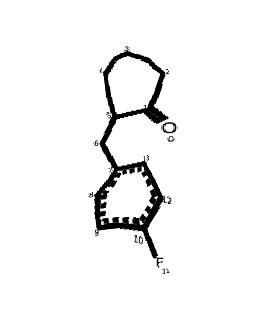 O=C1CCCC1Cc1ccc(F)cc1